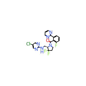 O=C(c1c(F)cccc1-c1ncccn1)N1CCC(F)(F)[C@H]1CNc1ncc(Cl)cn1